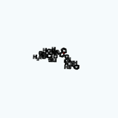 COc1c(NC(=O)Nc2ccc(Oc3ccnc(NC(S)c4ccccc4)n3)c3ccccc23)cc(C(C)(C)C)cc1NS(C)(=O)=O